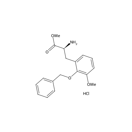 COC(=O)[C@@H](N)Cc1cccc(OC)c1OCc1ccccc1.Cl